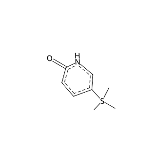 CS(C)(C)c1ccc(=O)[nH]c1